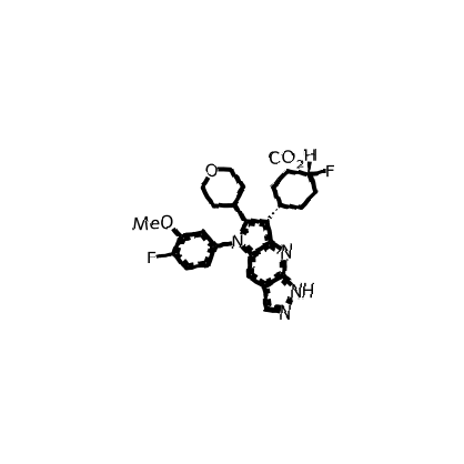 COc1cc(-n2c(C3CCOCC3)c([C@H]3CC[C@](F)(C(=O)O)CC3)c3nc4[nH]ncc4cc32)ccc1F